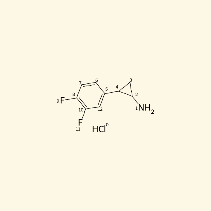 Cl.NC1CC1c1ccc(F)c(F)c1